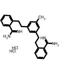 Cc1cc(CCc2ccccc2C(=N)N)cc(CCc2ccccc2C(=N)N)c1.Cl.Cl